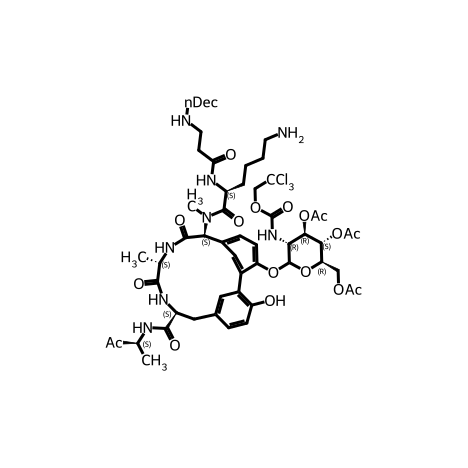 CCCCCCCCCCNCCC(=O)N[C@@H](CCCCN)C(=O)N(C)[C@@H]1C(=O)N[C@@H](C)C(=O)N[C@H](C(=O)N[C@@H](C)C(C)=O)Cc2ccc(O)c(c2)-c2cc1ccc2OC1O[C@H](COC(C)=O)[C@@H](OC(C)=O)[C@H](OC(C)=O)[C@H]1NC(=O)OCC(Cl)(Cl)Cl